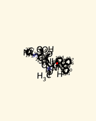 CO/N=C(/C(=O)NC1C(=O)N2C(C(=O)O)=C(/C=C/c3cncs3)CS[C@H]12)c1csc(NC(c2ccccc2)(c2ccccc2)c2ccccc2)n1